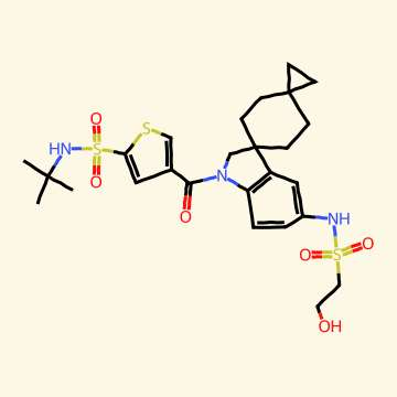 CC(C)(C)NS(=O)(=O)c1cc(C(=O)N2CC3(CCC4(CC4)CC3)c3cc(NS(=O)(=O)CCO)ccc32)cs1